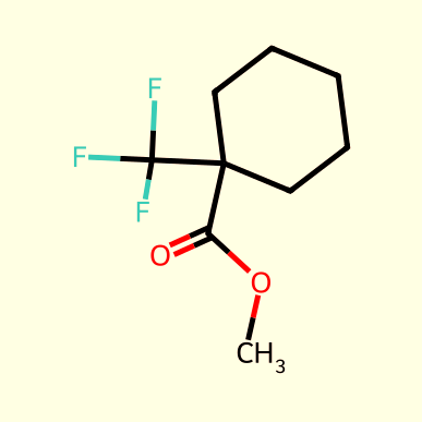 COC(=O)C1(C(F)(F)F)CCCCC1